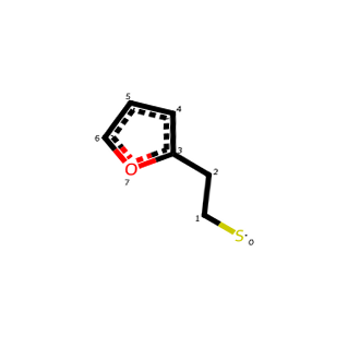 [S]CCc1ccco1